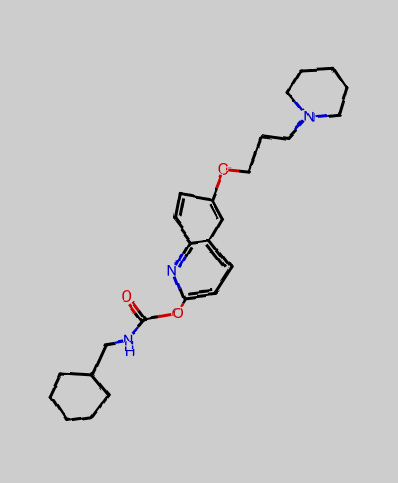 O=C(NCC1CCCCC1)Oc1ccc2cc(OCCCN3CCCCC3)ccc2n1